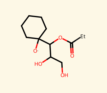 CCC(=O)OC(C(O)CO)C1([O])CCCCC1